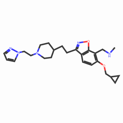 CNCc1c(OCC2CC2)ccc2c(CCC3CCN(CCn4cccn4)CC3)noc12